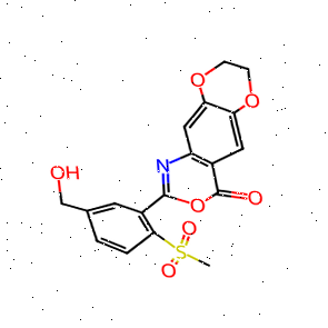 CS(=O)(=O)c1ccc(CO)cc1-c1nc2cc3c(cc2c(=O)o1)OCCO3